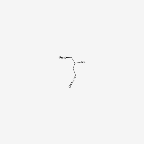 CCCCCCC(CC=C=O)CCCC